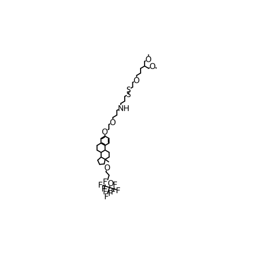 COCC(CCCOCCSSCCCNCCCOCCOc1ccc2c(c1)CCC1C2CCC2(C)C(OCCCOC(C(F)(F)F)(C(F)(F)F)C(F)(F)F)CCC12)COC